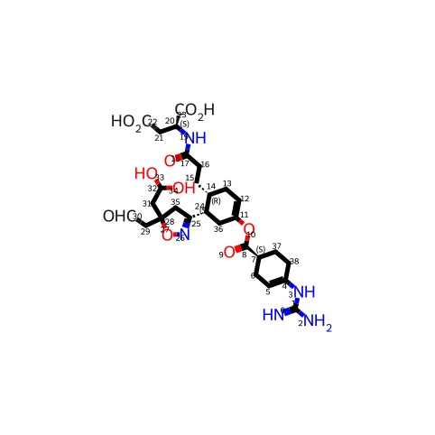 N=C(N)NC1=CC[C@@H](C(=O)OC2=CC[C@@H](CCC(=O)N[C@@H](CC(=O)O)C(=O)O)[C@@H](C3=NOC(CC=O)(CC(O)O)C3)C2)CC1